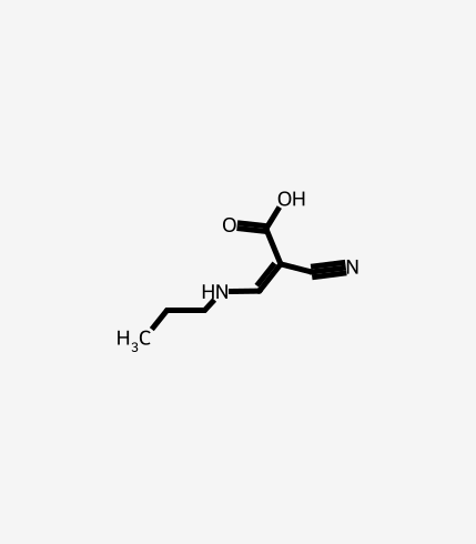 CCCNC=C(C#N)C(=O)O